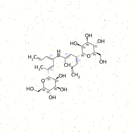 C=C/C=C(B/C(C)=C/C(=C\C=C)[C@H]1O[C@H](CO)[C@@H](O)[C@H](O)[C@@H]1O)\C=C(/C)[C@H]1O[C@H](CO)[C@@H](O)[C@H](O)[C@@H]1O